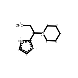 O=CCC(c1ncc[nH]1)N1CCCCC1